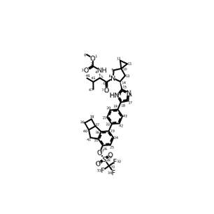 COC(=O)N[C@H](C(=O)N1CC2(CC2)C[C@H]1c1ncc(-c2ccc(-c3ccc(OS(=O)(=O)C(F)(F)F)c4c3C3CCC3C4)cc2)[nH]1)C(C)C